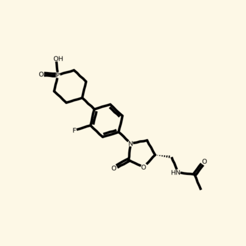 CC(=O)NC[C@H]1CN(c2ccc(C3CCP(=O)(O)CC3)c(F)c2)C(=O)O1